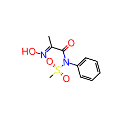 CC(=NO)C(=O)N(c1ccccc1)S(C)(=O)=O